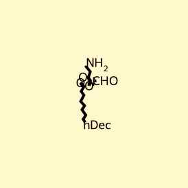 CCCCCCCCCCCCCCCCCC(=O)ON(C=O)C(=O)CCN